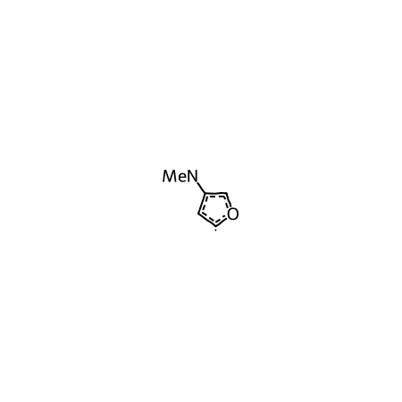 CNc1c[c]oc1